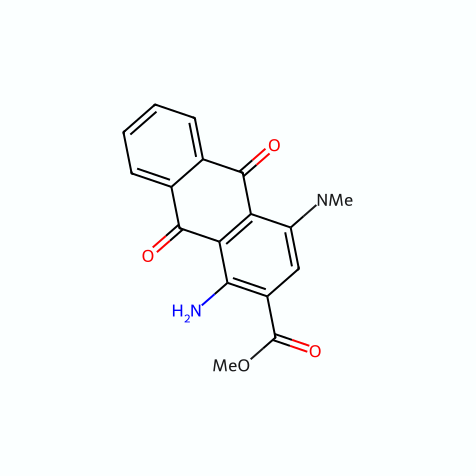 CNc1cc(C(=O)OC)c(N)c2c1C(=O)c1ccccc1C2=O